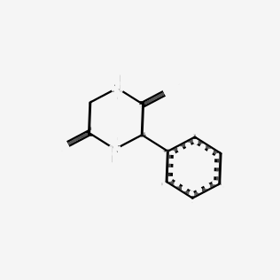 O=C1CNC(=O)C(c2ccccc2)N1